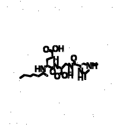 CCCCCC(C)N[C@@H](CCC(=O)O)C(=O)NC(CNC(=O)[C@H](CNCC)NC(C)C)C(=O)O